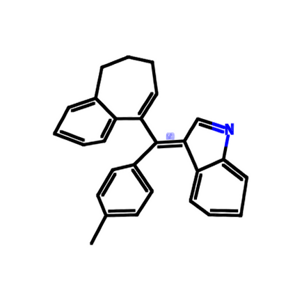 Cc1ccc(/C(C2=CCCCc3ccccc32)=C2/C=Nc3ccccc32)cc1